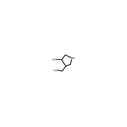 NCC1CNCC1N